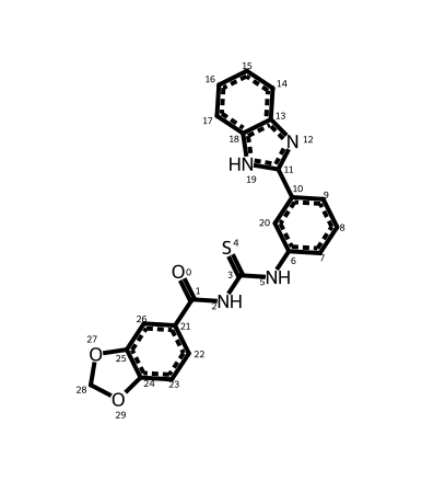 O=C(NC(=S)Nc1cccc(-c2nc3ccccc3[nH]2)c1)c1ccc2c(c1)OCO2